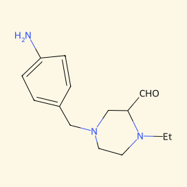 CCN1CCN(Cc2ccc(N)cc2)CC1C=O